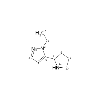 CCn1nccc1C1CCCN1